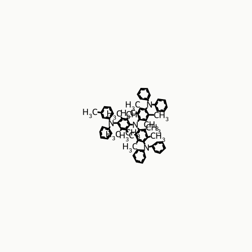 Cc1cccc(N(c2ccccc2)c2c(C)c(C)c(N(c3c(C)c(C)c(N(c4ccccc4)c4ccccc4)c(C)c3C)c3c(C)c(C)c(N(c4ccccc4)c4ccccc4)c(C)c3C)c(C)c2C)c1